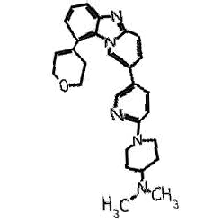 CN(C)C1CCN(c2ccc(-c3ccc4nc5cccc(C6=CCOCC6)c5n4c3)cn2)CC1